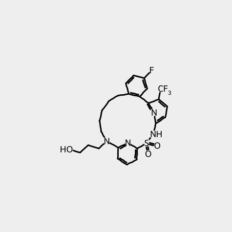 O=S1(=O)Nc2ccc(C(F)(F)F)c(n2)-c2cc(F)ccc2CCCCCN(CCCO)c2cccc1n2